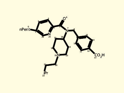 CCCCCc1ccc(C(=O)N(Cc2ccc(C(=O)O)cc2)C2CCN(CCC(C)C)CC2)nc1